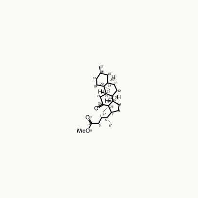 COC(=O)CC[C@@H](C)C1CC[C@H]2[C@@H]3CC[C@@H]4C[C@H](C)CC[C@]4(C)[C@H]3CC(=O)[C@]12C